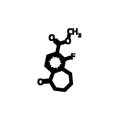 COC(=O)c1ccc2c(c1F)CCCCC2=O